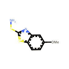 COc1ccc2sc(SN)nc2c1